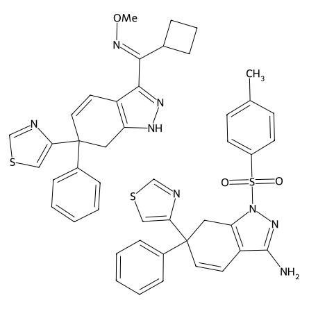 CON=C(c1n[nH]c2c1C=CC(c1ccccc1)(c1cscn1)C2)C1CCC1.Cc1ccc(S(=O)(=O)n2nc(N)c3c2CC(c2ccccc2)(c2cscn2)C=C3)cc1